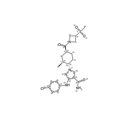 C[C@H]1C[C@@H](C(=O)N2CC(S(C)(=O)=O)C2)CC[C@@H]1n1cc(C(N)=O)c(Nc2ccc(Cl)cc2)n1